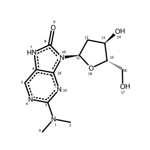 CN(C)c1ncc2[nH]c(=O)n([C@H]3C[C@@H](O)[C@H](CO)O3)c2n1